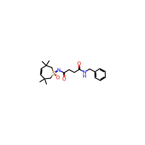 CC1(C)C=CC(C)(C)CS(=O)(=NC(=O)CCC(=O)NCc2ccccc2)C1